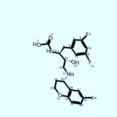 O=C(O)N[C@@H](Cc1cc(F)cc(F)c1)[C@H](O)CN[C@H]1CCOc2ccc(I)cc21